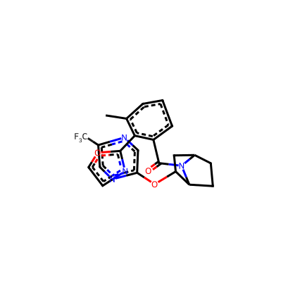 Cc1cccc(C(=O)N2C3CCC2C(Oc2cnc(C(F)(F)F)cn2)C3)c1-c1ncco1